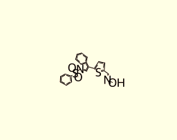 O=S(=O)(c1ccccc1)n1cc(-c2ccc(C=NO)s2)c2ccccc21